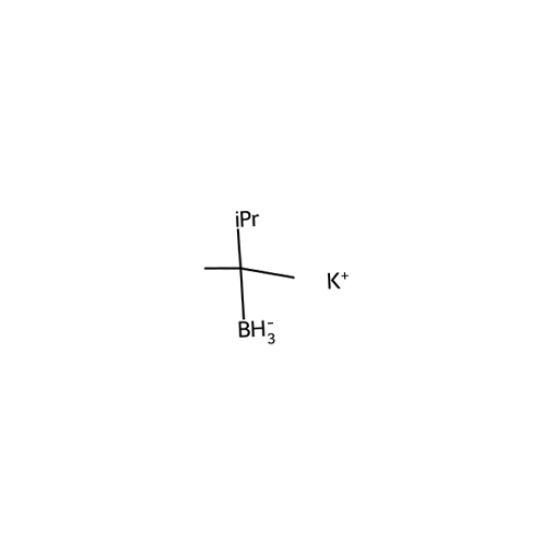 [BH3-]C(C)(C)C(C)C.[K+]